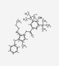 CCC/N=c1\n(CC(=O)c2cc(C(C)(C)C)c(O)c(C(C)(C)C)c2)cc(C)n1Cc1ccccc1